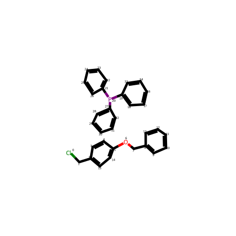 ClCc1ccc(OCc2ccccc2)cc1.c1ccc(P(c2ccccc2)c2ccccc2)cc1